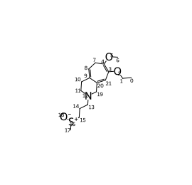 CCOC1=C(OC)CC=C2CCN(CCC[S+](C)[O-])CC2=C1